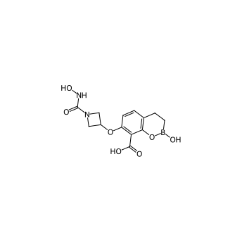 O=C(O)c1c(OC2CN(C(=O)NO)C2)ccc2c1OB(O)CC2